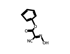 N#CC(=NO)C(=O)Oc1ccccc1